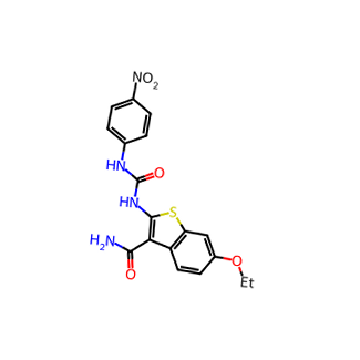 CCOc1ccc2c(C(N)=O)c(NC(=O)Nc3ccc([N+](=O)[O-])cc3)sc2c1